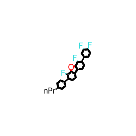 CCCc1ccc(-c2ccc3c(oc4c(F)c(-c5ccc(F)c(F)c5)ccc43)c2F)cc1